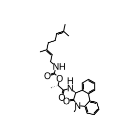 CC(C)=CCC/C(C)=C/CNC(=O)O[C@@H](C)C(=O)N[C@@H]1C(=O)N(C)c2ccccc2-c2ccccc21